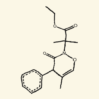 CCOC(=O)C(C)(C)N1OC=C(C)C(c2ccccc2)C1=O